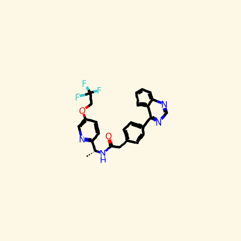 C[C@@H](NC(=O)Cc1ccc(-c2ncnc3ccccc23)cc1)c1ccc(OCC(F)(F)F)cn1